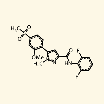 COc1cc(S(C)(=O)=O)ccc1-c1cc(C(=O)Nc2c(F)cccc2F)nn1C